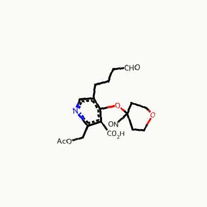 CC(=O)OCc1ncc(CCCC=O)c(OC2(N=O)CCOCC2)c1C(=O)O